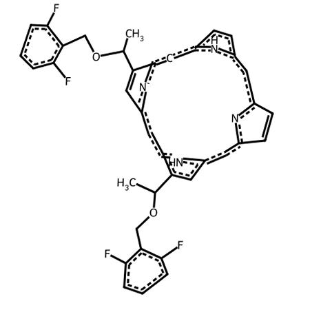 CC(OCc1c(F)cccc1F)C1=Cc2cc3[nH]c(cc4nc(cc5ccc(cc1n2)[nH]5)C=C4)cc3C(C)OCc1c(F)cccc1F